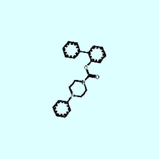 O=C(Oc1ccccc1-c1ccccc1)N1CCN(c2ccccc2)CC1